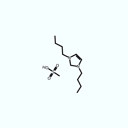 CCCCN1C=CN(CCCC)C1.CS(=O)(=O)O